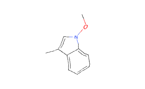 COn1cc(C)c2ccccc21